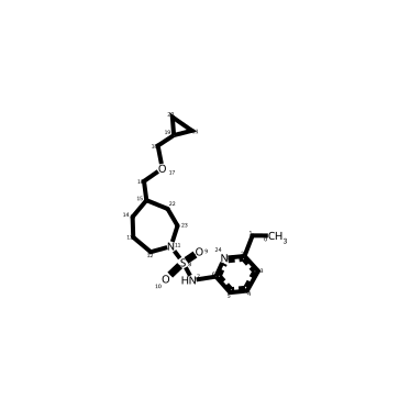 CCc1cccc(NS(=O)(=O)N2CCCC(COCC3CC3)CC2)n1